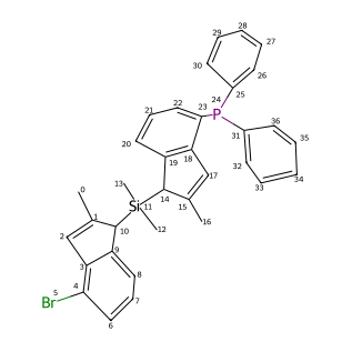 CC1=Cc2c(Br)cccc2C1[Si](C)(C)C1C(C)=Cc2c1cccc2P(c1ccccc1)c1ccccc1